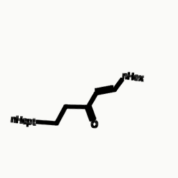 CCCCCCC=CC(=O)CCCCCCCCC